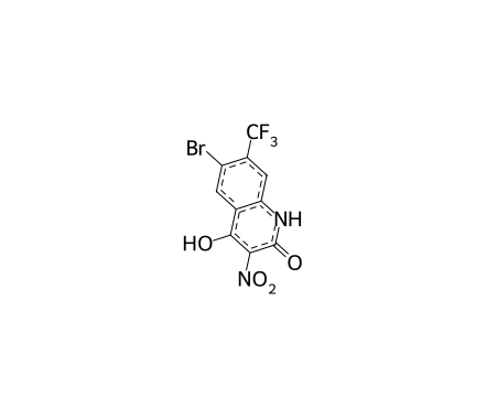 O=c1[nH]c2cc(C(F)(F)F)c(Br)cc2c(O)c1[N+](=O)[O-]